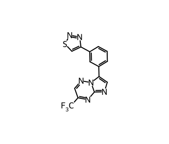 FC(F)(F)c1cnn2c(-c3cccc(-c4csnn4)c3)cnc2n1